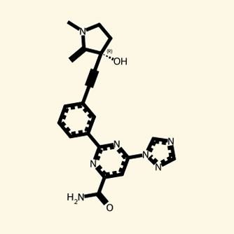 C=C1N(C)CC[C@@]1(O)C#Cc1cccc(-c2nc(C(N)=O)cc(-n3cncn3)n2)c1